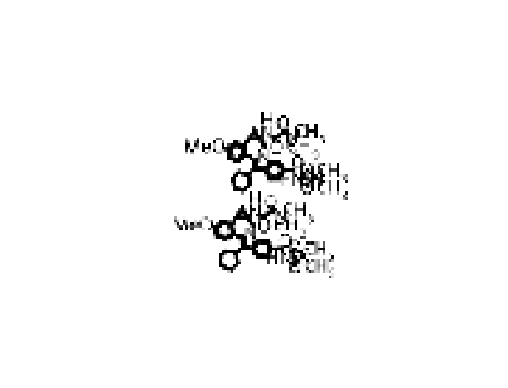 COc1ccc2c(c1)C1CC1(NC(=O)C(=O)N(C)C)Cn1c-2c(C2CCCCC2)c2ccc(C(=O)NS(=O)(=O)N(C)C)cc21.COc1ccc2c(c1)C1CC1(NC(=O)C(=O)N(C)C)Cn1c-2c(C2CCCCC2)c2ccc(C(=O)NS(=O)(=O)N(C)C)cc21